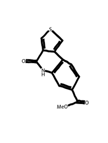 COC(=O)c1ccc2c(c1)[nH]c(=O)c1cscc12